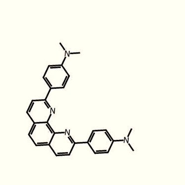 CN(C)c1ccc(-c2ccc3ccc4ccc(-c5ccc(N(C)C)cc5)nc4c3n2)cc1